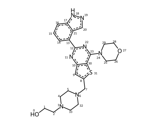 OC[CH]N1CCN(Cc2cc3nc(-c4cccc5[nH]ncc45)nc(N4CCOCC4)c3s2)CC1